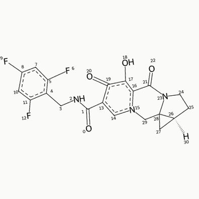 O=C(NCc1c(F)cc(F)cc1F)c1cn2c(c(O)c1=O)C(=O)N1CC[C@H]3CC31C2